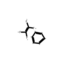 FC(F)=C(F)F.c1ccccc1